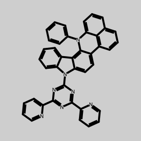 c1ccc(N2c3cccc4cccc(c34)-c3ccc4c(c32)c2ccccc2n4-c2nc(-c3ccccn3)nc(-c3ccccn3)n2)cc1